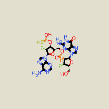 Nc1nc2c(ncn2C2O[C@H](CO)[C@@H](F)[C@H]2[PH](=O)OC[C@H]2O[C@@H](n3cnc4c(N)ncnc43)[C@@H](F)[C@@H]2O[P@@](O)S)c(=O)[nH]1